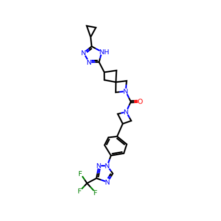 O=C(N1CC(c2ccc(-n3cnc(C(F)(F)F)n3)cc2)C1)N1CC2(CC(c3nnc(C4CC4)[nH]3)C2)C1